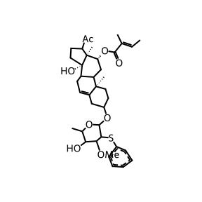 C/C=C(\C)C(=O)O[C@@H]1CC2C(CC=C3CC(OC4OC(C)C(O)C(OC)C4Sc4ccccc4)CC[C@@]32C)[C@@]2(O)CCC(C(C)=O)[C@@]12C